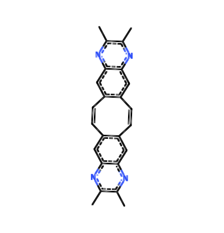 Cc1nc2cc3c(cc2nc1C)/C=C\c1cc2nc(C)c(C)nc2cc1/C=C\3